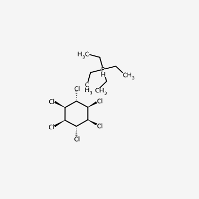 CC[PH](CC)(CC)CC.Cl[C@H]1[C@H](Cl)[C@@H](Cl)[C@@H](Cl)[C@H](Cl)[C@H]1Cl